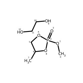 COP1(=O)OCC(C)O1.OCCO